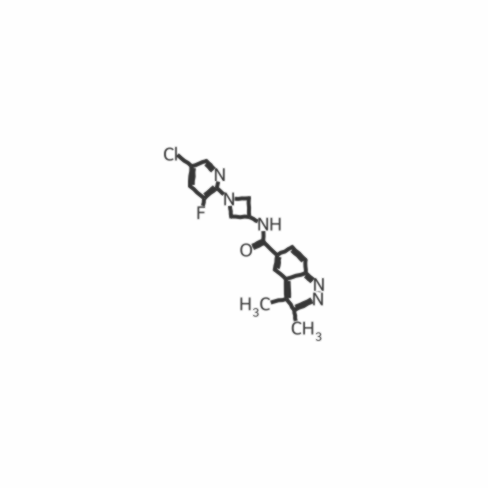 Cc1nnc2ccc(C(=O)NC3CN(c4ncc(Cl)cc4F)C3)cc2c1C